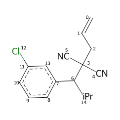 C=CCC(C#N)(C#N)C(c1cccc(Cl)c1)C(C)C